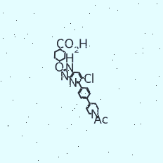 CC(=O)N1CC=C(c2ccc(-c3nc4nc(O[C@H]5CC[C@H](C(=O)O)CC5)[nH]c4cc3Cl)cc2)CC1